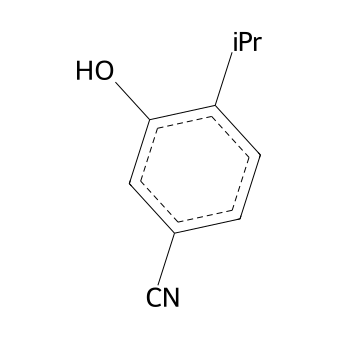 CC(C)c1ccc(C#N)cc1O